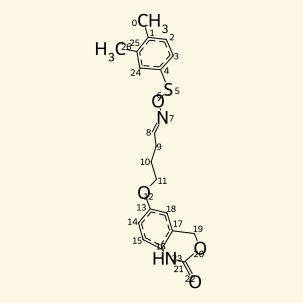 Cc1ccc(SON=CCCCOc2ccc3c(c2)COC(=O)N3)cc1C